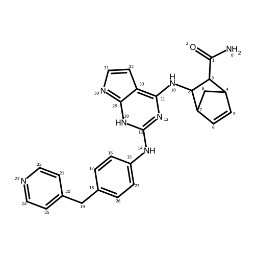 NC(=O)C1C2C=CC(C2)C1Nc1nc(Nc2ccc(Cc3ccncc3)cc2)[nH]c2nccc1-2